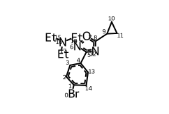 Brc1ccc(-c2noc(C3CC3)n2)cc1.CCN(CC)CC